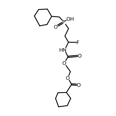 O=C(NC(F)CCP(=O)(O)CC1CCCCC1)OCOC(=O)C1CCCCC1